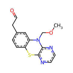 COCN1c2cc(CC=O)ccc2Sc2nccnc21